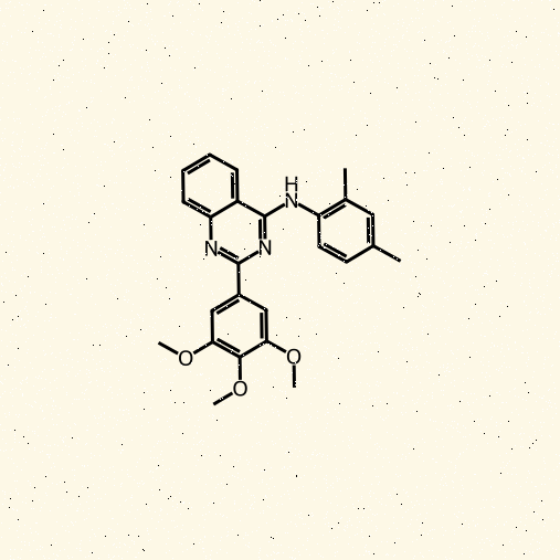 COc1cc(-c2nc(Nc3ccc(C)cc3C)c3ccccc3n2)cc(OC)c1OC